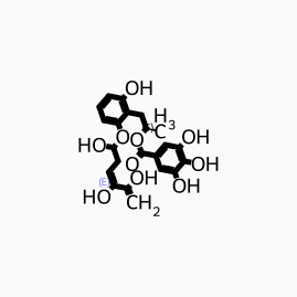 C=C(O)/C(O)=C\CC(O)Oc1cccc(O)c1C[C@H](C)OC(=O)c1cc(O)c(O)c(O)c1